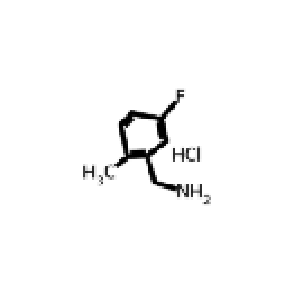 Cc1ccc(F)cc1CN.Cl